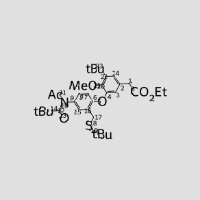 CCOC(=O)Cc1cc(Oc2ccc(N(C(C)=O)C(=O)C(C)(C)C)cc2CSC(C)(C)C)c(OC)c(C(C)(C)C)c1